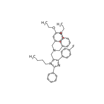 CCCCn1c(-c2ccccc2)nc(-c2ccc(F)cc2)c1CN(Cc1cccc(OCC)c1)Cc1cccc(OCC)c1